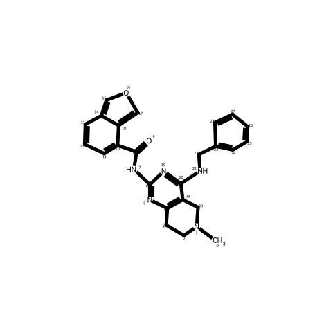 CN1CCc2nc(NC(=O)c3cccc4cocc34)nc(NCc3ccccc3)c2C1